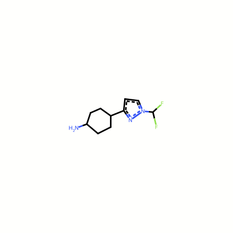 NC1CCC(c2ccn(C(F)F)n2)CC1